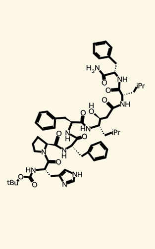 CC(C)C[C@H](NC(=O)C[C@H](O)[C@H](CC(C)C)NC(=O)[C@H](Cc1ccccc1)NC(=O)[C@H](Cc1ccccc1)NC(=O)[C@@H]1CCCN1C(=O)[C@H](Cc1c[nH]cn1)NC(=O)OC(C)(C)C)C(=O)N[C@@H](Cc1ccccc1)C(N)=O